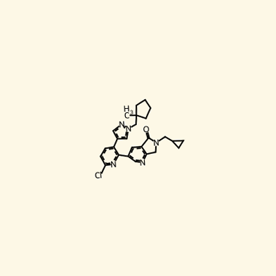 CC1(Cn2cc(-c3ccc(Cl)nc3-c3cnc4c(c3)C(=O)N(CC3CC3)C4)cn2)CCCC1